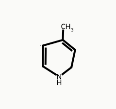 CC1=CCNC=[C]1